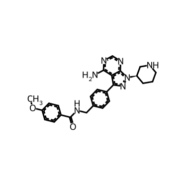 COc1ccc(C(=O)NCc2ccc(-c3nn([C@@H]4CCCNC4)c4ncnc(N)c34)cc2)cc1